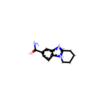 NC(=O)c1ccc2c(c1)nc1n2CCCC1